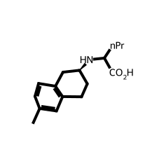 CCCC(N[C@H]1CCc2cc(C)ccc2C1)C(=O)O